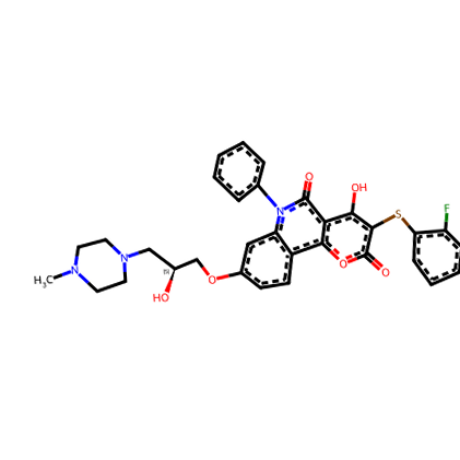 CN1CCN(C[C@H](O)COc2ccc3c4oc(=O)c(Sc5ccccc5F)c(O)c4c(=O)n(-c4ccccc4)c3c2)CC1